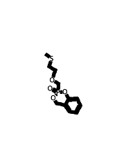 CSCCOCP1(=O)OCc2ccccc2O1